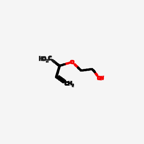 C=CC(OCCO)C(=O)O